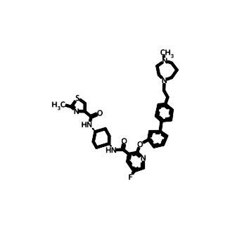 CC1=NC(C(=O)N[C@H]2CC[C@@H](NC(=O)c3cc(F)cnc3Oc3cccc(-c4ccc(CCN5CCCN(C)CC5)cc4)c3)CC2)CS1